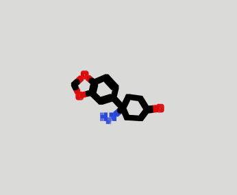 NC1(c2ccc3c(c2)OCO3)CCC(=O)CC1